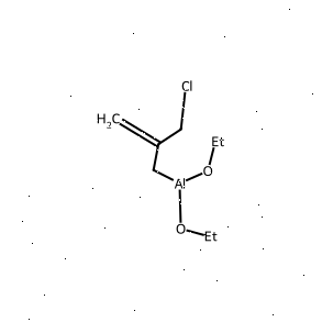 C=C(CCl)[CH2][Al]([O]CC)[O]CC